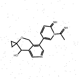 CC(=N)n1cc(-c2cncc3c2COC2(CC2)C3O)ccc1=N